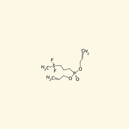 C=CCOP(=O)(CCCS(C)(F)F)OCC=C